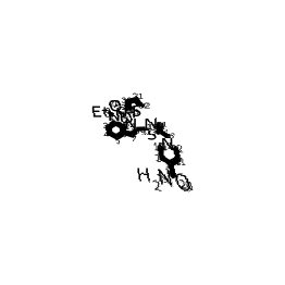 CCN(c1cccc2cc(-c3ncc(CN4CCC(C(N)=O)CC4)s3)[nH]c12)S(=O)(=O)c1cccs1